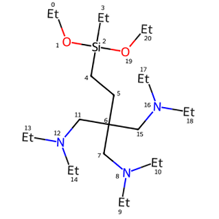 CCO[Si](CC)(CCC(CN(CC)CC)(CN(CC)CC)CN(CC)CC)OCC